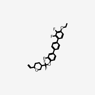 C=CC1CCC(C(F)(F)Oc2ccc(-c3ccc(-c4ccc(OCC)c(F)c4F)cc3)cc2F)CO1